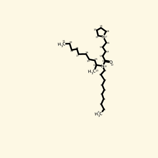 CCCCCCCCCCN(C(=O)CCCCN1CCCC1)C(C)CCCCCCCC